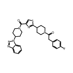 O=C(Cc1ccc(F)cc1)N1CCC(c2nc(C(=O)N3CCC(n4nnc5ccccc54)CC3)cs2)CC1